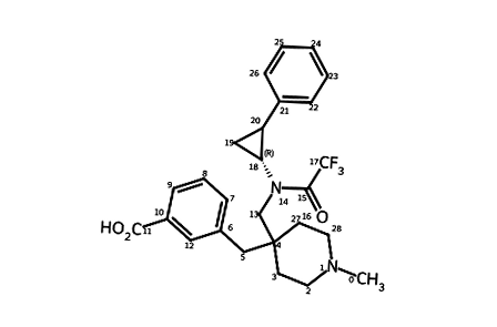 CN1CCC(Cc2cccc(C(=O)O)c2)(CN(C(=O)C(F)(F)F)[C@@H]2CC2c2ccccc2)CC1